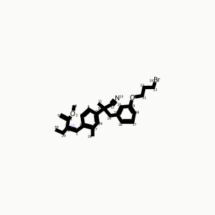 C=C(OC)/C(=C\c1ccc(C(C)(C#N)Cc2cccc(OCCCBr)c2)cc1C)CC